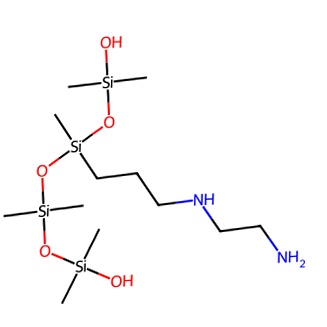 C[Si](C)(O)O[Si](C)(C)O[Si](C)(CCCNCCN)O[Si](C)(C)O